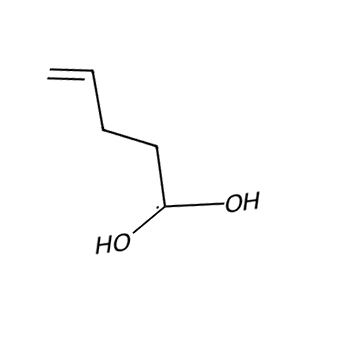 C=CCC[C](O)O